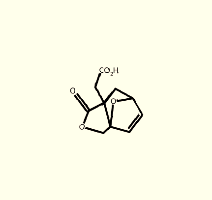 O=C(O)CC12CC3C=CC1(COC2=O)O3